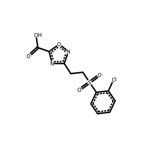 O=C(O)c1nc(CCS(=O)(=O)c2ccccc2Cl)no1